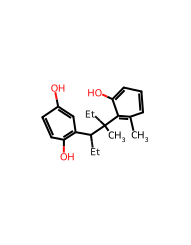 CCC(c1cc(O)ccc1O)C(C)(CC)c1c(C)cccc1O